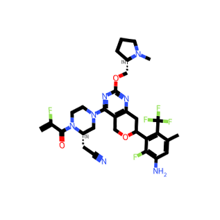 C=C(F)C(=O)N1CCN(c2nc(OC[C@@H]3CCCN3C)nc3c2COC(c2c(F)c(N)cc(C)c2C(F)(F)F)C3)C[C@@H]1CC#N